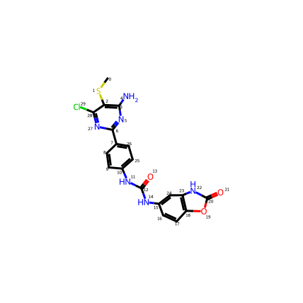 CSc1c(N)nc(-c2ccc(NC(=O)Nc3ccc4oc(=O)[nH]c4c3)cc2)nc1Cl